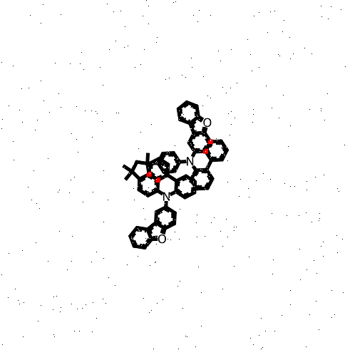 CC1(C)CC(C)(c2ccc(N(c3ccc4oc5ccccc5c4c3)c3ccccc3-c3ccccc3)cc2)c2cc(N(c3ccc4oc5ccccc5c4c3)c3ccccc3-c3ccccc3)ccc21